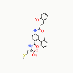 COc1ccccc1CCC(=O)Nc1ccc(C(=O)N[C@@H](CCSC)C(=O)O)c(-c2ccccc2C)c1